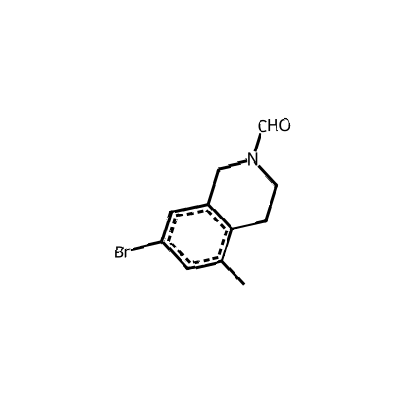 Cc1cc(Br)cc2c1CCN(C=O)C2